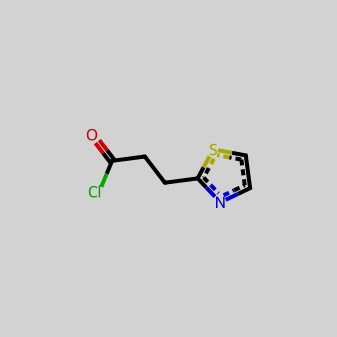 O=C(Cl)CCc1nccs1